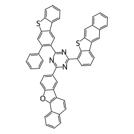 c1ccc(-c2cc3sc4ccccc4c3cc2-c2nc(-c3ccc4oc5c6ccccc6ccc5c4c3)nc(-c3cccc4c3sc3cc5ccccc5cc34)n2)cc1